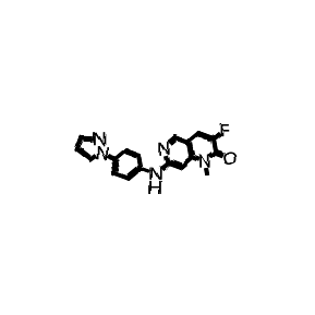 Cn1c(=O)c(F)cc2cnc(Nc3ccc(-n4cccn4)cc3)cc21